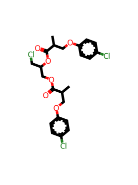 CC(COc1ccc(Cl)cc1)C(=O)OCC(CCl)OC(=O)C(C)COc1ccc(Cl)cc1